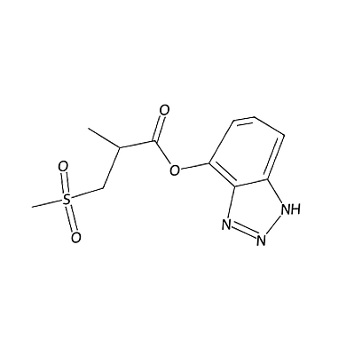 CC(CS(C)(=O)=O)C(=O)Oc1cccc2[nH]nnc12